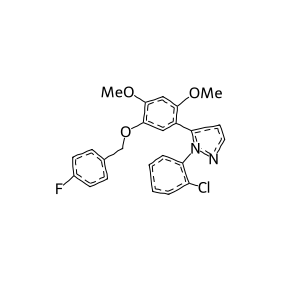 COc1cc(OC)c(-c2ccnn2-c2ccccc2Cl)cc1OCc1ccc(F)cc1